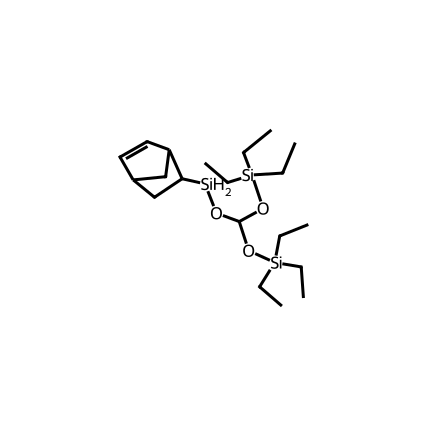 CC[Si](CC)(CC)OC(O[SiH2]C1CC2C=CC1C2)O[Si](CC)(CC)CC